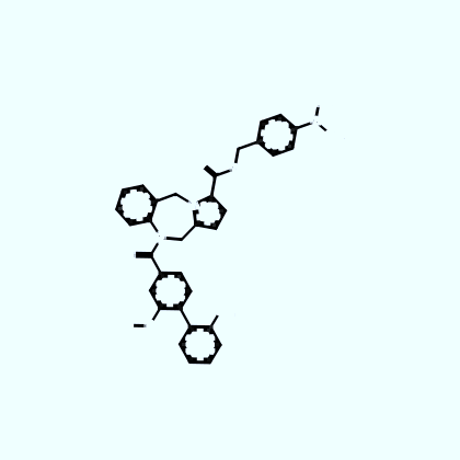 COc1cc(C(=O)N2Cc3ccc(C(=O)NCc4ccc(N(C)C)cc4)n3Cc3ccccc32)ccc1-c1ccccc1C